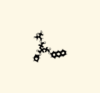 CC(C)(CC(C)(CC(C)(C)C(=O)Oc1ccc2cc3ccccc3cc2c1)C(=O)OC1CC2CCC1C2)C(=O)OCC(C(F)(F)F)C(F)(F)F